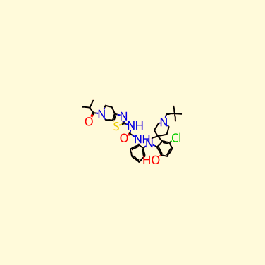 CC(C)C(=O)N1CCc2nc(NC(=O)Nc3ccccc3N3CC4(CCN(CC(C)(C)C)CC4)c4c(Cl)ccc(O)c43)sc2C1